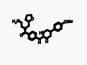 COc1ccc(C2CNC(Nc3ccc(C(=O)N(CCN)CC4CCCO4)cc3)NC2)cc1